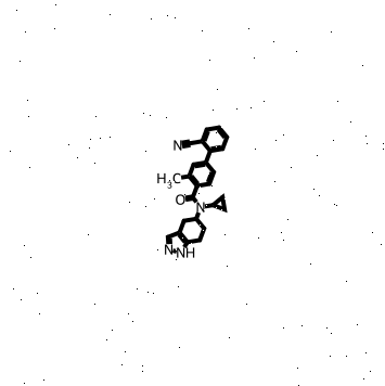 Cc1cc(-c2ccccc2C#N)ccc1C(=O)N(C1CC1)C1CCc2[nH]ncc2C1